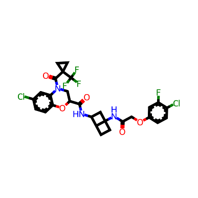 O=C(COc1ccc(Cl)c(F)c1)NC12CCC1C(NC(=O)C1CN(C(=O)C3(C(F)(F)F)CC3)c3cc(Cl)ccc3O1)C2